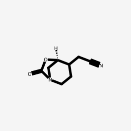 N#CCC1CCN2C[C@H]1OC2=O